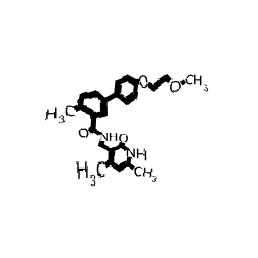 COCCOc1ccc(-c2ccc(C)c(C(=O)NCc3c(C)cc(C)[nH]c3=O)c2)cc1